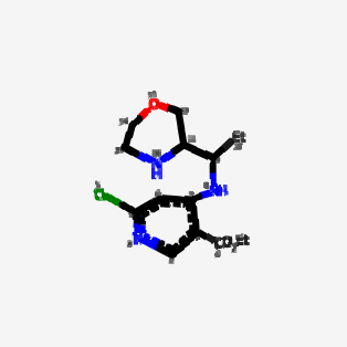 CCOC(=O)c1cnc(Cl)cc1NC(CC)C1COCCN1